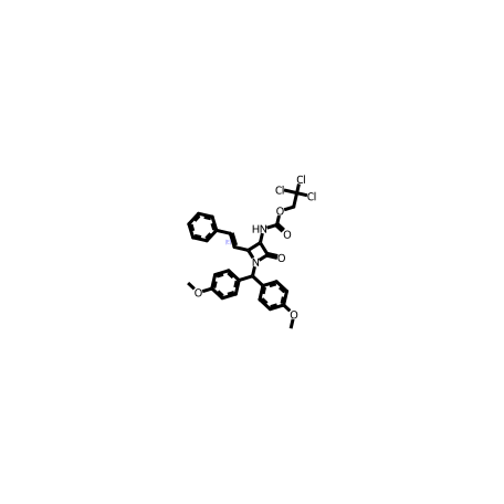 COc1ccc(C(c2ccc(OC)cc2)N2C(=O)C(NC(=O)OCC(Cl)(Cl)Cl)C2/C=C/c2ccccc2)cc1